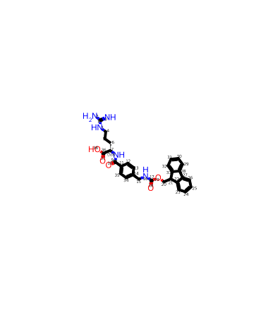 N=C(N)NCCC[C@H](NC(=O)c1ccc(CNC(=O)OCC2c3ccccc3-c3ccccc32)cc1)C(=O)O